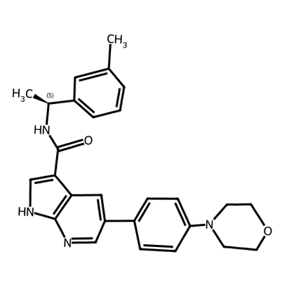 Cc1cccc([C@H](C)NC(=O)c2c[nH]c3ncc(-c4ccc(N5CCOCC5)cc4)cc23)c1